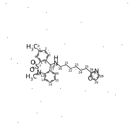 Cc1ccc2c(c1)S(=O)(=O)N(C)c1ccccc1C2NCCCCCCc1ncco1